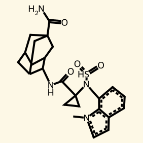 Cn1ccc2cccc(N([SH](=O)=O)C3(C(=O)NC4C5CC6CC4CC(C(N)=O)(C6)C5)CC3)c21